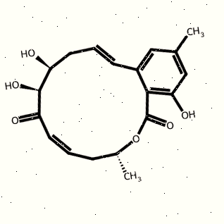 Cc1cc(O)c2c(c1)/C=C/C[C@H](O)[C@H](O)C(=O)/C=C\C[C@@H](C)OC2=O